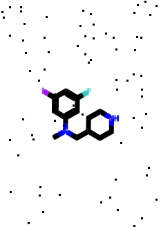 CN(CC1CCNCC1)c1cc(F)cc(I)c1